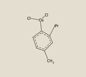 Cc1cc[c]([Os]([Cl])[Cl])c(C(C)C)c1